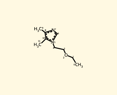 CCOCCn1[c]nc(C)c1C